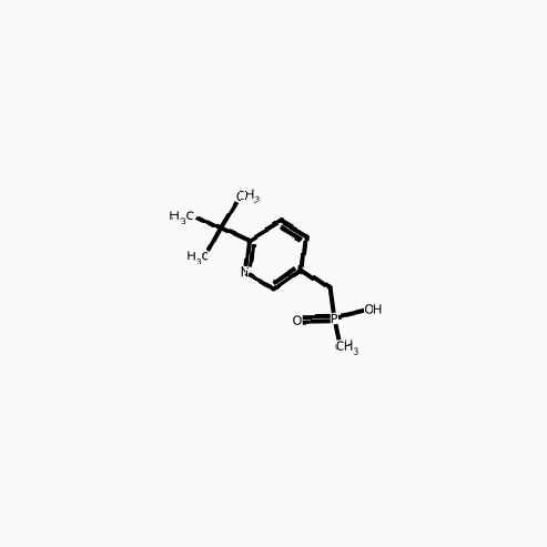 CC(C)(C)c1ccc(CP(C)(=O)O)cn1